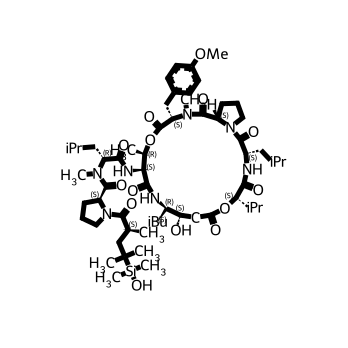 CC[C@H](C)[C@H]1NC(=O)[C@@H](NC(=O)[C@@H](CC(C)C)N(C)C(=O)[C@@H]2CCCN2C(=O)[C@@H](C)CC(C)(C)[Si](C)(C)O)[C@@H](C)OC(=O)[C@H](Cc2ccc(OC)cc2)N(C)C(=O)[C@@H]2CCCN2C(=O)[C@H](CC(C)C)NC(=O)[C@H](C(C)C)OC(=O)C[C@@H]1O